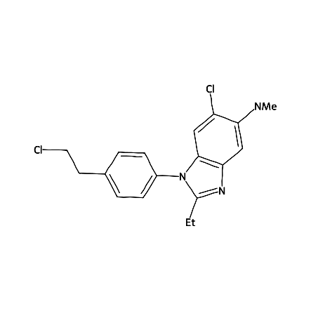 CCc1nc2cc(NC)c(Cl)cc2n1-c1ccc(CCCl)cc1